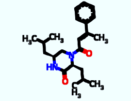 C/C(=C\C(=O)N1C[C@H](CC(C)C)NC(=O)[C@@H]1CC(C)C)c1ccccc1